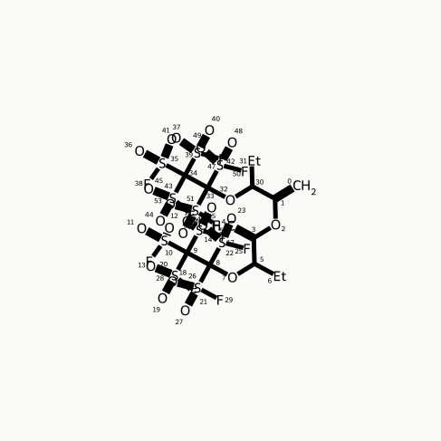 C=C(OC(=C)C(CC)OC(C(S(=O)(=O)F)(S(=O)(=O)F)S(=O)(=O)F)(S(=O)(=O)F)S(=O)(=O)F)C(CC)OC(C(S(=O)(=O)F)(S(=O)(=O)F)S(=O)(=O)F)(S(=O)(=O)F)S(=O)(=O)F